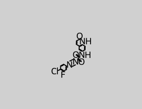 O=C(Nc1ccc2[nH]c(=O)ccc2c1)C(=O)N1CCN(c2ccc(Cl)c(F)c2)CC1